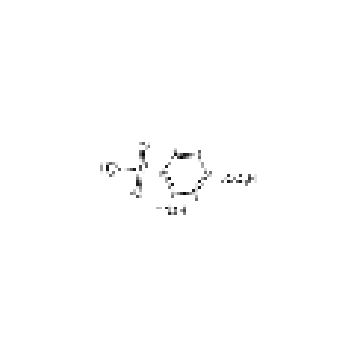 NS(=O)(=O)c1ccc(C(=O)O)cc1.[NaH]